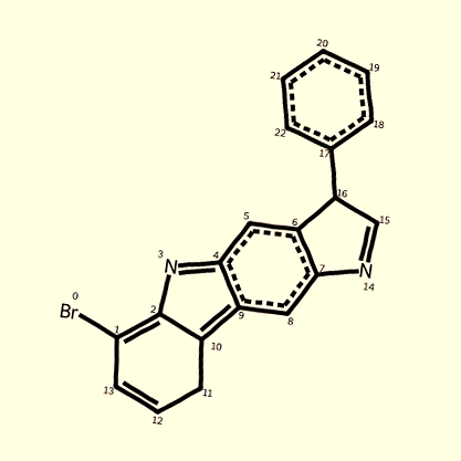 BrC1=C2N=c3cc4c(cc3=C2CC=C1)N=CC4c1ccccc1